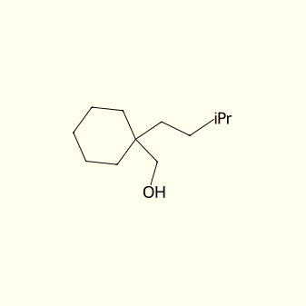 CC(C)CCC1(CO)CCCCC1